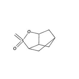 C=S1(=O)OC2CC3CC2C1C3